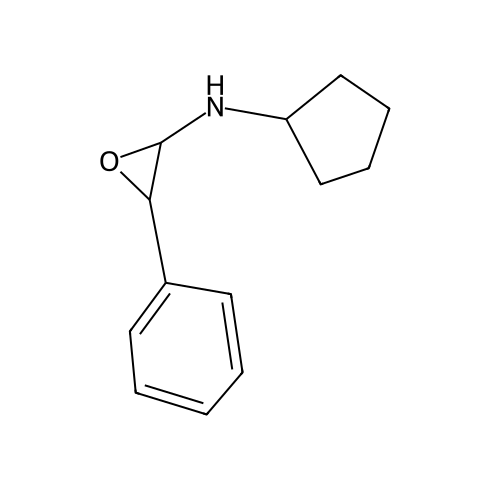 c1ccc(C2OC2NC2CCCC2)cc1